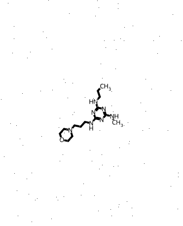 CCCNc1nc(NC)nc(NCCCN2CCOCC2)n1